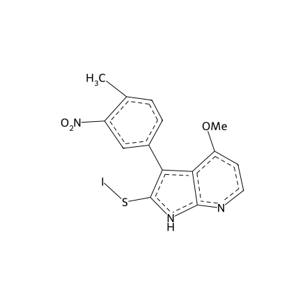 COc1ccnc2[nH]c(SI)c(-c3ccc(C)c([N+](=O)[O-])c3)c12